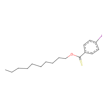 CCCCCCCCCCOC(=S)c1ccc(I)cc1